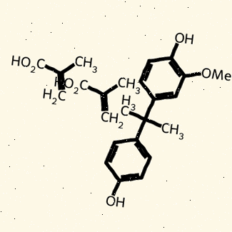 C=C(C)C(=O)O.C=C(C)C(=O)O.COc1cc(C(C)(C)c2ccc(O)cc2)ccc1O